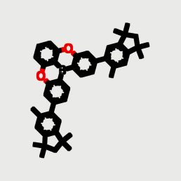 Cc1cc2c(cc1-c1ccc3c(c1)Oc1cccc4c1B3c1ccc(-c3cc5c(cc3C)C(C)(C)CC5(C)C)cc1O4)C(C)(C)CC2(C)C